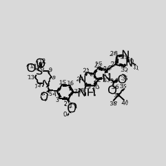 COc1cc(C(=O)N2CCS(=O)(=O)CC2)ccc1Nc1cc2c(cn1)cc(-c1cnn(C)c1)n2C(=O)OC(C)(C)C